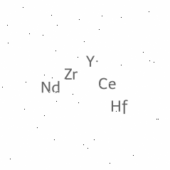 [Ce].[Hf].[Nd].[Y].[Zr]